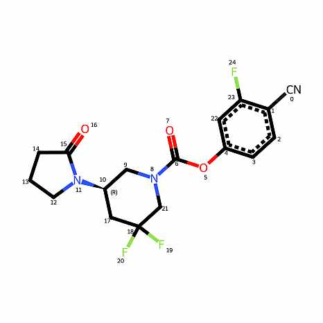 N#Cc1ccc(OC(=O)N2C[C@H](N3CCCC3=O)CC(F)(F)C2)cc1F